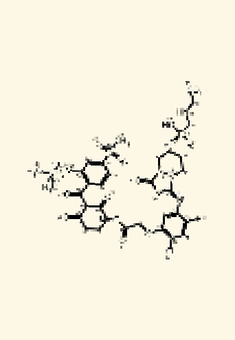 COC(=O)CSc1cc(/N=c2\sc(=O)n3n2CCCC3)c(F)cc1Cl.CS(=O)(=O)c1ccc(C(=O)C2C(=O)CCCC2=O)c([N+](=O)[O-])c1.C[S+](C)C.O=C(O)CNCP(=O)([O-])O